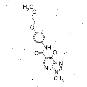 COCCOc1ccc(NC(=O)c2cnc3c(ncn3C)c2Cl)cc1